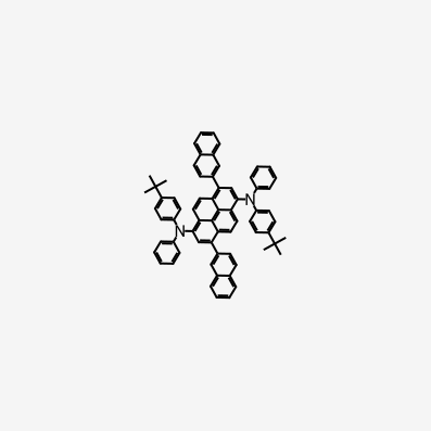 CC(C)(C)c1ccc(N(c2ccccc2)c2cc(-c3ccc4ccccc4c3)c3ccc4c(N(c5ccccc5)c5ccc(C(C)(C)C)cc5)cc(-c5ccc6ccccc6c5)c5ccc2c3c54)cc1